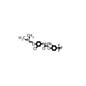 CCN(CC)CCOc1ccc(NC(=O)COc2ccc(C(F)(F)F)cc2Br)cc1Cl